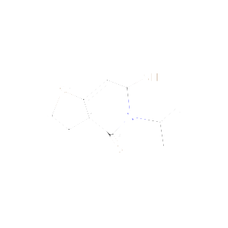 CC(C)N1C(=S)C2CCSC2=CC1S